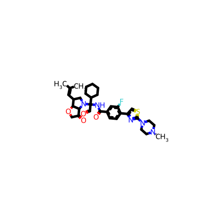 CC(C)=CC1CN(C(C=O)(NC(=O)c2ccc(-c3csc(N4CCN(C)CC4)n3)c(F)c2)C2CCCCC2)C2C(=O)COC12